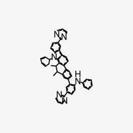 CC1c2cc(-c3cc(-c4ncccn4)ccc3Nc3ccccc3)ccc2-c2ccc3c4cc(-c5ncccn5)ccc4n(C4C=CC=CC4)c3c2C1C